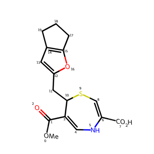 COC(=O)C1=CNC(C(=O)O)=CSC1Cc1cc2c(o1)CCC2